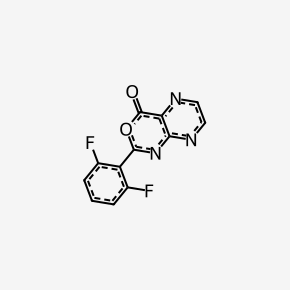 O=c1oc(-c2c(F)cccc2F)nc2nccnc12